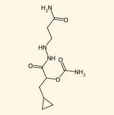 NC(=O)CCNNC(=O)C(CC1CC1)OC(N)=O